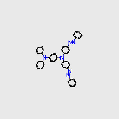 c1ccc(/N=N/c2ccc(N(c3ccc(/N=N/c4ccccc4)cc3)c3ccc(N(c4ccccc4)c4ccccc4)cc3)cc2)cc1